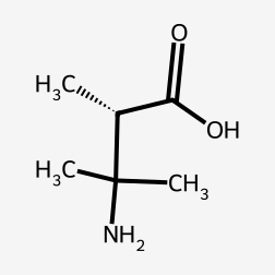 C[C@H](C(=O)O)C(C)(C)N